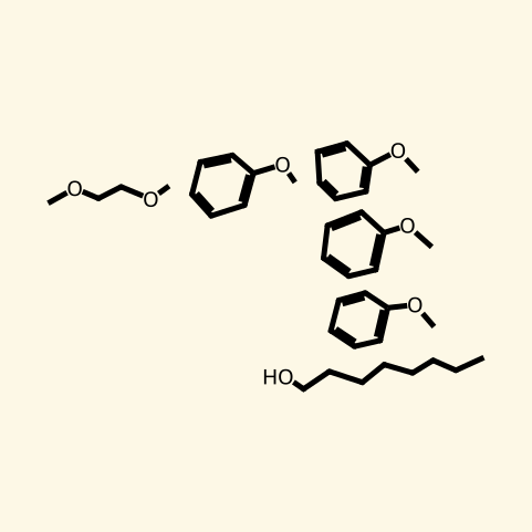 CCCCCCCCO.COCCOC.COc1ccccc1.COc1ccccc1.COc1ccccc1.COc1ccccc1